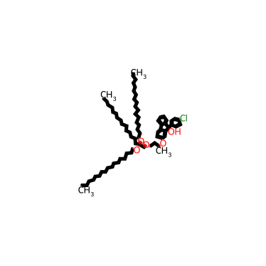 CCCCCCCCCCCCCCCCCCOC(CCCCCCCCCCCCCCCC)(COCCC(C)Oc1ccc2c(c1)C(O)(c1ccc(Cl)cc1)c1ccccc1-2)OCCCCCCCCCCCCCCCCCC